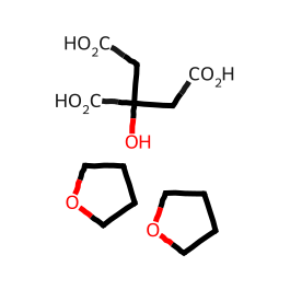 C1CCOC1.C1CCOC1.O=C(O)CC(O)(CC(=O)O)C(=O)O